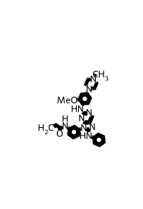 C=CC(=O)Nc1cccc(-n2c(Nc3ccccc3)nc3cnc(Nc4ccc(N5CCN(C)CC5)cc4OC)nc32)c1